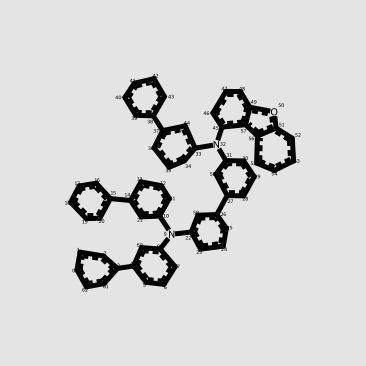 c1ccc(-c2cccc(N(c3cccc(-c4ccccc4)c3)c3cccc(-c4cccc(N(c5cccc(-c6ccccc6)c5)c5cccc6oc7ccccc7c56)c4)c3)c2)cc1